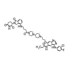 C=CC(=O)Nc1cc2c(Nc3ccc(F)c(Cl)c3)ncnc2cc1OCCCN1CCC(N2CCN(C(=O)CCCNc3cccc4c3CN(C3CCC(=O)NC3=O)C4=O)CC2)CC1